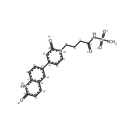 CS(=O)(=O)NC(=O)CCCn1ccc(-c2ccc3[nH]c(=O)ccc3c2)cc1=O